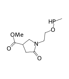 COC(=O)C1CC(=O)N(CCOPC)C1